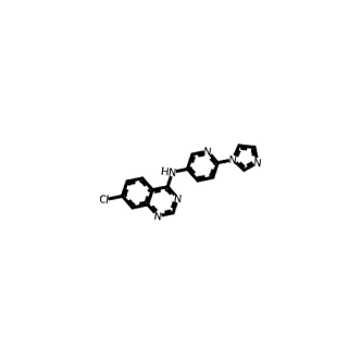 Clc1ccc2c(Nc3ccc(-n4ccnc4)nc3)ncnc2c1